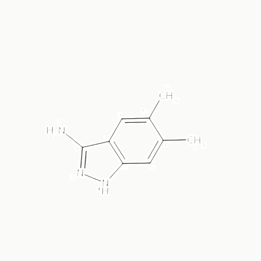 Cc1cc2[nH]nc(N)c2cc1C